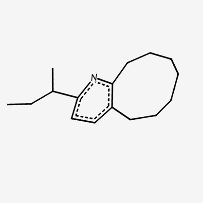 CCC(C)c1ccc2c(n1)CCCCCCC2